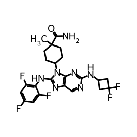 CC1(C(N)=O)CCC(n2c(Nc3c(F)cc(F)cc3F)nc3cnc(NC4CC(F)(F)C4)nc32)CC1